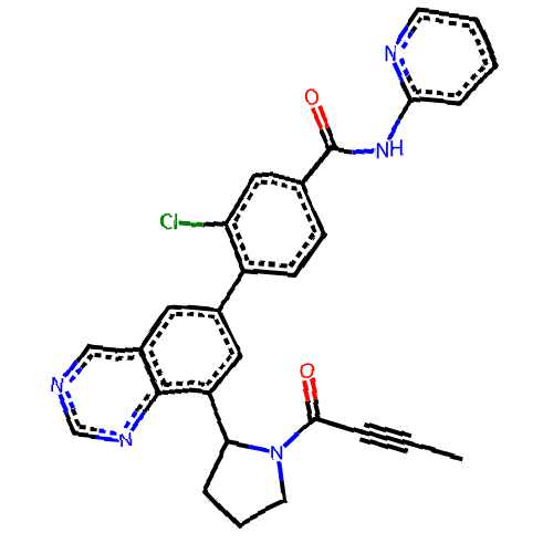 CC#CC(=O)N1CCCC1c1cc(-c2ccc(C(=O)Nc3ccccn3)cc2Cl)cc2cncnc12